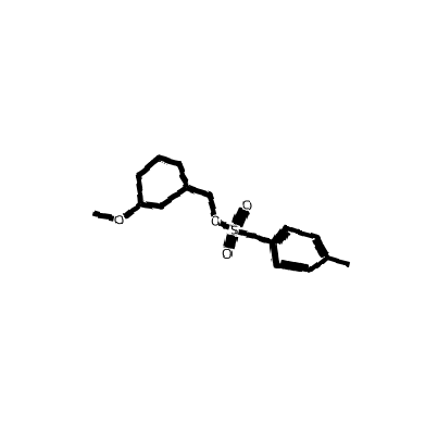 COC1CCCC(COS(=O)(=O)c2ccc(C)cc2)C1